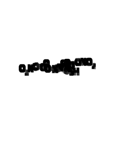 O=C(OCCN1CCN(C(=O)[C@@H]2CCC(S)N2C(=O)OCc2ccc([N+](=O)[O-])cc2)CC1)OCc1ccc([N+](=O)[O-])cc1